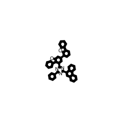 c1ccc(-c2nc(-c3cc4ccccc4c4ccccc34)nc(-c3cc(-c4cccc5c4oc4ccccc45)cc4oc5ccccc5c34)n2)cc1